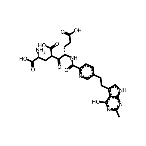 Cc1nc(O)c2c(CCc3ccc(C(=O)N[C@@H](CCC(=O)O)C(=O)C(C[C@H](N)C(=O)O)C(=O)O)nc3)c[nH]c2n1